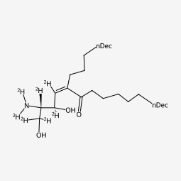 [2H]/C(=C(\CCCCCCCCCCCCC)C(=O)CCCCCCCCCCCCCCC)[C@@]([2H])(O)[C@@]([2H])(N([2H])[2H])C([2H])([2H])O